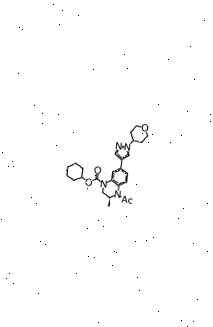 CC(=O)N1c2ccc(-c3cnn(C4CCOCC4)c3)cc2N(C(=O)OC2CCCCC2)C[C@@H]1C